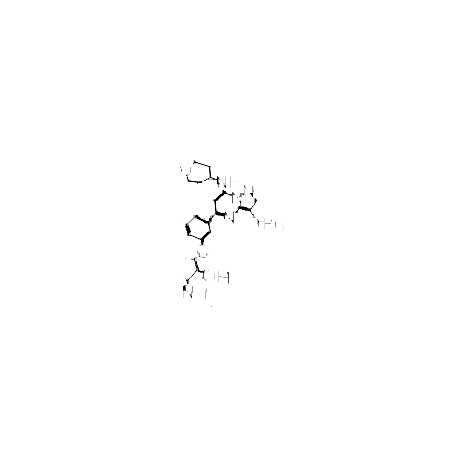 CC(C)(C)c1cnn2c(NC3CCOCC3)cc(-c3cccc(OCC(O)CN)c3)nc12